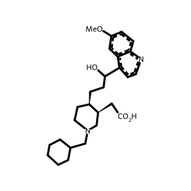 COc1ccc2nccc(C(O)CC[C@@H]3CCN(CC4CCCCC4)C[C@@H]3CC(=O)O)c2c1